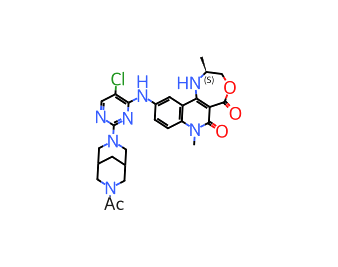 CC(=O)N1CC2CC(C1)CN(c1ncc(Cl)c(Nc3ccc4c(c3)c3c(c(=O)n4C)C(=O)OC[C@H](C)N3)n1)C2